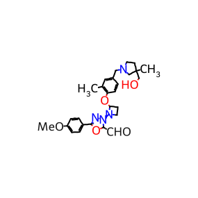 COc1ccc(C2=NN(N3CCC3Oc3ccc(CN4CCC(C)(CO)C4)cc3C)C(C=O)O2)cc1